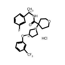 C[C@H](NC(=O)C1(N2CC[C@@H](Oc3cccc(C(F)(F)F)c3)C2)CCOCC1)c1cccc(F)c1.Cl